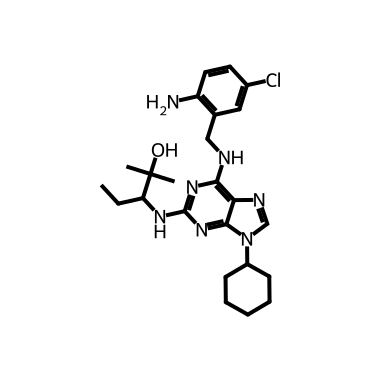 CCC(Nc1nc(NCc2cc(Cl)ccc2N)c2ncn(C3CCCCC3)c2n1)C(C)(C)O